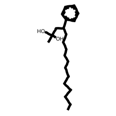 CCCCCCCCCCCCC([CH]C(C)(O)O)c1ccccc1